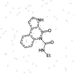 CCNC(=O)n1c(=O)c2[nH]ccc2c2ccccc21